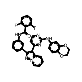 O=C(Nc1cccc(-c2nn3ccccc3c2-c2ccnc(Nc3ccc4c(c3)OCCO4)n2)c1)c1c(F)cccc1F